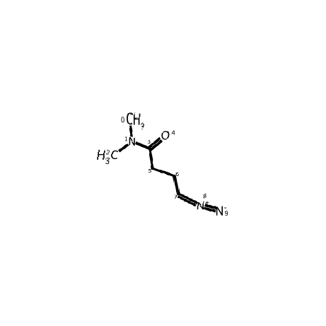 CN(C)C(=O)CCC=[N+]=[N-]